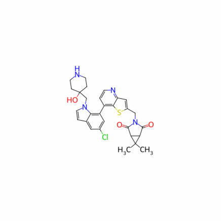 CC1(C)C2C(=O)N(Cc3cc4nccc(-c5cc(Cl)cc6ccn(CC7(O)CCNCC7)c56)c4s3)C(=O)C21